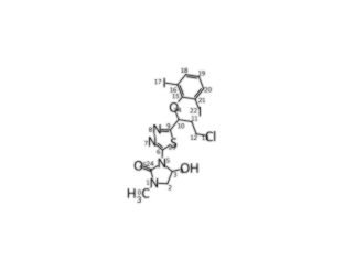 CN1CC(O)N(c2nnc(C(CCCl)Oc3c(I)cccc3I)s2)C1=O